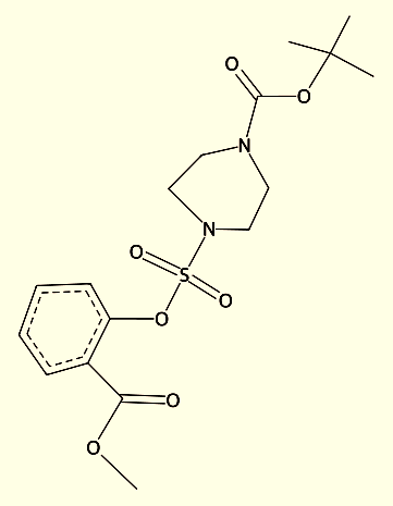 COC(=O)c1ccccc1OS(=O)(=O)N1CCN(C(=O)OC(C)(C)C)CC1